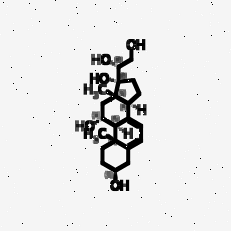 C[C@]12CC[C@H](O)CC1=CC=C1[C@@H]2[C@H](O)C[C@@]2(C)[C@H]1CC[C@]2(O)[C@H](O)CO